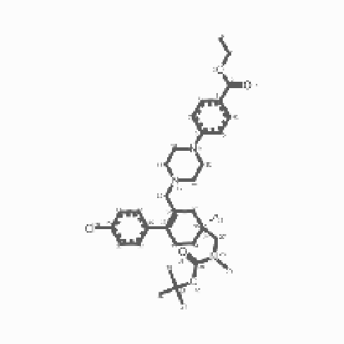 CCOC(=O)c1ccc(N2CCN(CC3=C(c4ccc(Cl)cc4)CC[C@](C)(CN(C)C(=O)OC(C)(C)C)C3)CC2)cc1